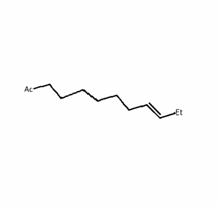 CCC=CCCCCCCC(C)=O